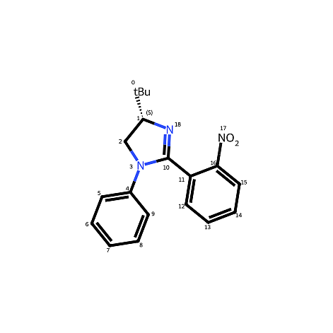 CC(C)(C)[C@H]1CN(c2ccccc2)C(c2ccccc2[N+](=O)[O-])=N1